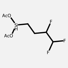 CC(=O)O[SiH](CCC(F)C(F)F)OC(C)=O